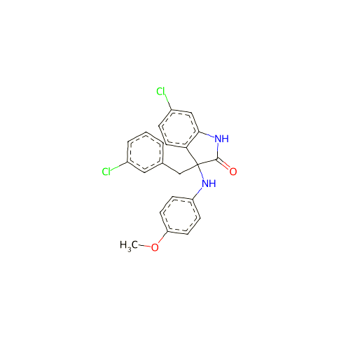 COc1ccc(NC2(Cc3cccc(Cl)c3)C(=O)Nc3cc(Cl)ccc32)cc1